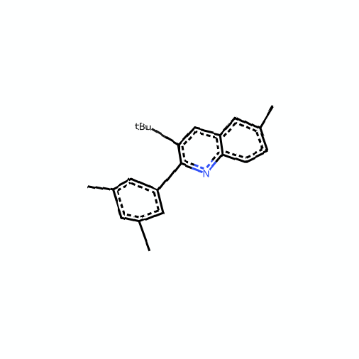 Cc1cc(C)cc(-c2nc3ccc(C)cc3cc2C(C)(C)C)c1